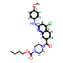 CCCCOC(=O)N1CCN(C(=O)c2ccc3c(Cl)cc(Nc4ccc(OC)cc4)nc3c2)CC1